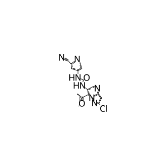 CO[C@@H](C)c1c(NC(=O)Nc2ccnc(C#N)c2)cnc2cc(Cl)nn12